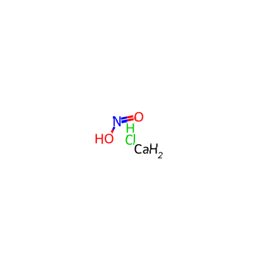 Cl.O=NO.[CaH2]